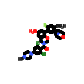 CCN1CCN(c2cc(Cl)c(C(=O)N3COc4c(cccc4-c4cc(N5C6CCC5COC6)c(C(=O)O)cc4F)C3)c(Cl)c2)CC1.O